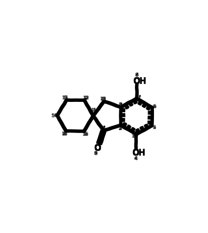 O=C1c2c(O)ccc(O)c2CC12CCCCC2